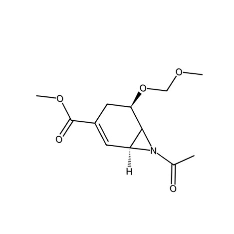 COCO[C@@H]1CC(C(=O)OC)=C[C@H]2C1N2C(C)=O